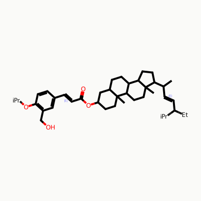 CCC(/C=C/C(C)C1CCC2C3CCC4CC(OC(=O)/C=C/c5ccc(OC(C)C)c(CO)c5)CCC4(C)C3CCC12C)C(C)C